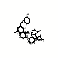 Cc1cc(CN2CCCC(C)C2)cc2c(=O)c(-c3cncc(C4(c5nncn5C)CC(C)C4)c3)coc12